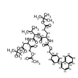 CC(=O)OCC(=O)C(CC(=O)OC(C)(C)C)NC(=O)C(NC(=O)C(CCC(=O)OC(C)(C)C)NC(=O)OCc1ccccc1)C(C)C.c1ccc2ccccc2c1